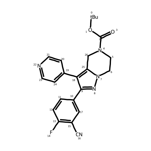 CC(C)(C)OC(=O)N1CCn2nc(-c3ccc(F)c(C#N)c3)c(-c3ccncc3)c2C1